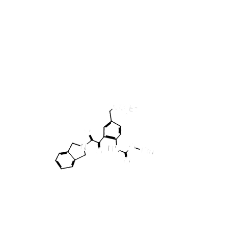 CCOC(=O)Cc1ccc(NC(=O)OC(C)(C)C)c(C(=O)C(=O)N2Cc3ccccc3C2)c1